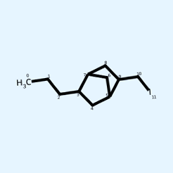 CCCC1CC2CC1CC2CI